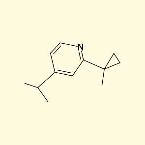 CC(C)c1ccnc(C2(C)CC2)c1